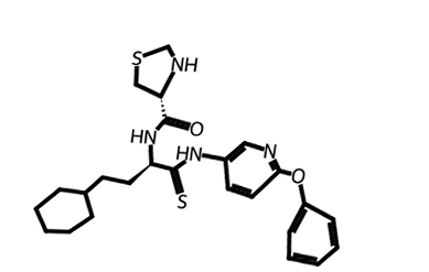 O=C(N[C@H](CCC1CCCCC1)C(=S)Nc1ccc(Oc2ccccc2)nc1)[C@@H]1CSCN1